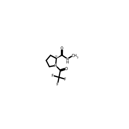 CNC(=O)[C@@H]1CCCN1C(=O)C(F)(F)F